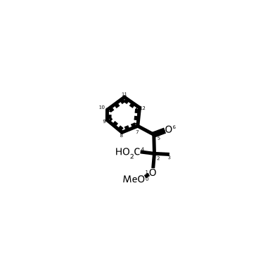 COOC(C)(C(=O)O)C(=O)c1ccccc1